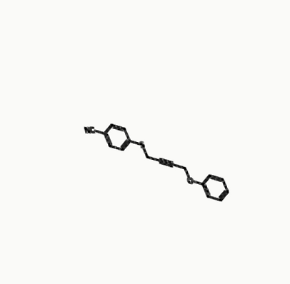 N#Cc1ccc(SCC#CCOc2ccccc2)cc1